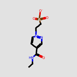 CCNC(=O)c1cc[n+](CCS(=O)(=O)[O-])nc1